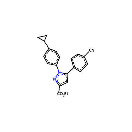 CCOC(=O)c1cc(-c2ccc(C#N)cc2)n(-c2ccc(C3CC3)cc2)n1